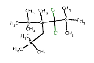 C[Si](C)(C)C[Si](C)(C(Cl)(Cl)[Si](C)(C)C)[Si](C)(C)C